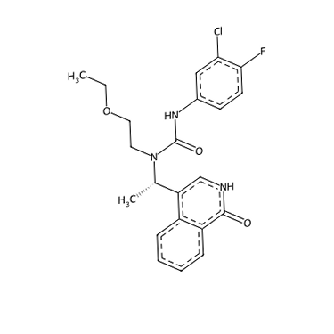 CCOCCN(C(=O)Nc1ccc(F)c(Cl)c1)[C@@H](C)c1c[nH]c(=O)c2ccccc12